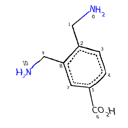 NCc1ccc(C(=O)O)cc1CN